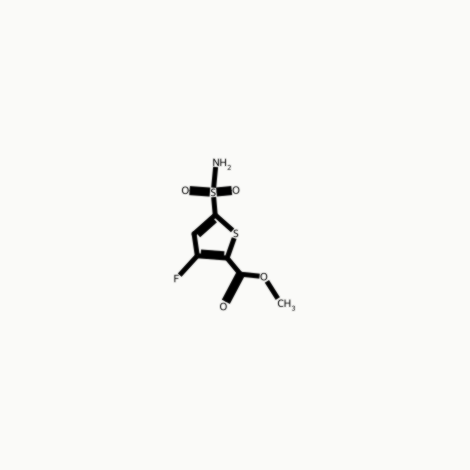 COC(=O)c1sc(S(N)(=O)=O)cc1F